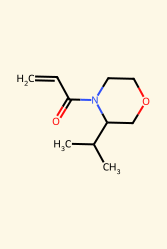 C=CC(=O)N1CCOCC1C(C)C